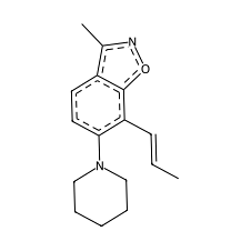 C/C=C/c1c(N2CCCCC2)ccc2c(C)noc12